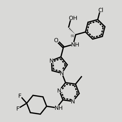 Cc1cnc(NC2CCC(F)(F)CC2)nc1-n1cnc(C(=O)N[C@H](CO)c2cccc(Cl)c2)c1